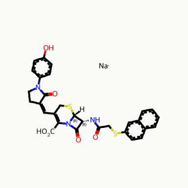 O=C(CSc1ccc2ccccc2c1)N[C@@H]1C(=O)N2C(C(=O)O)=C(C=C3CCN(c4ccc(O)cc4)C3=O)CS[C@H]12.[Na]